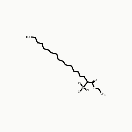 CCCCCCCCCCCCCCCCC(C(=O)OCC)[Si](Cl)(Cl)Cl